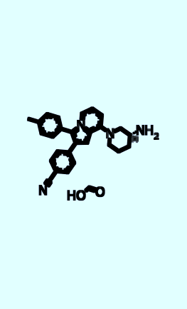 Cc1ccc(-c2c(-c3ccc(C#N)cc3)cc3c(N4CCC[C@@H](N)C4)cccn23)cc1.O=CO